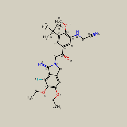 CCOc1cc2c(c(F)c1OCC)C(=N)N(CC(=O)c1cc(NCC#N)c(OC)c(C(C)(C)C)c1)C2